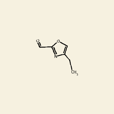 CCc1coc(C=O)n1